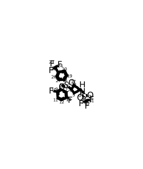 O=S(=O)(N[C@H]1C[C@@](c2cc(F)ccc2F)(S(=O)(=O)c2ccc(C(F)(F)F)cc2)C1)C(F)(F)F